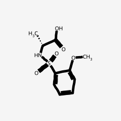 COc1ccccc1S(=O)(=O)N[C@H](C)C(=O)O